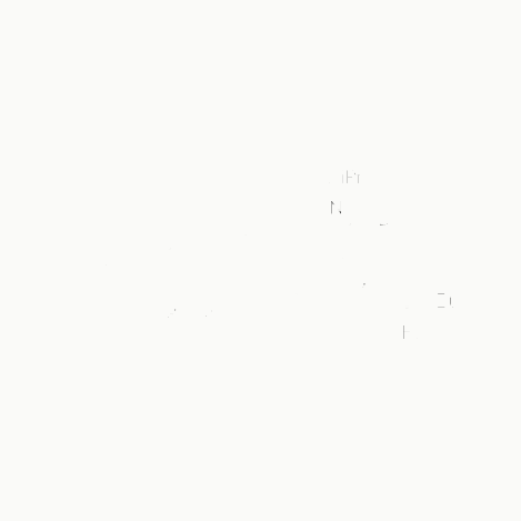 C=CCc1ccc(-c2cccc(CN(c3ccc(C(CC)CC)cc3)C(C)C)c2)cc1